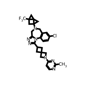 Cc1nccc(N2CC3(CC(c4nnc5n4-c4ccc(Cl)cc4CN(C46CC7(C(F)(F)F)CC47C6)C5)C3)C2)n1